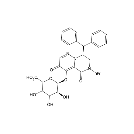 CC(C)N1C[C@H](C(c2ccccc2)c2ccccc2)n2ncc(=O)c(O[C@@H]3OC(C(=O)O)C(O)C(O)[C@@H]3O)c2C1=O